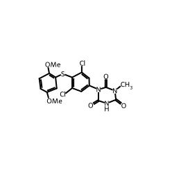 COc1ccc(OC)c(Sc2c(Cl)cc(-n3c(=O)[nH]c(=O)n(C)c3=O)cc2Cl)c1